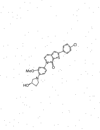 COc1cc(-n2ccc3cc(-c4ccc(Cl)cc4)sc3c2=O)ccc1N1CC[C@@H](O)C1